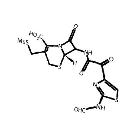 CSCC1=C(C(=O)O)N2C(=O)C(NC(=O)C(=O)c3csc(NC=O)n3)[C@@H]2SC1